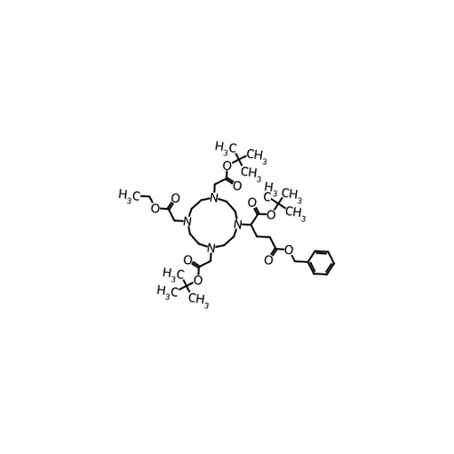 CCOC(=O)CN1CCN(CC(=O)OC(C)(C)C)CCN(C(CCC(=O)OCc2ccccc2)C(=O)OC(C)(C)C)CCN(CC(=O)OC(C)(C)C)CC1